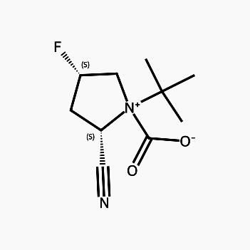 CC(C)(C)[N+]1(C(=O)[O-])C[C@@H](F)C[C@H]1C#N